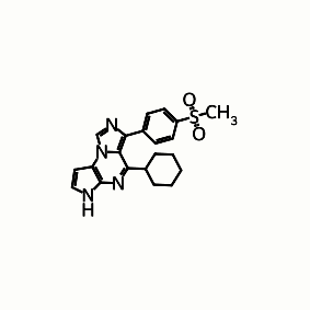 CS(=O)(=O)c1ccc(-c2ncn3c2c(C2CCCCC2)nc2[nH]ccc23)cc1